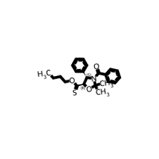 CCCCOC(=S)[C@@H]1OC(C)(C)N(C(=O)c2ccccc2)[C@H]1c1ccccc1